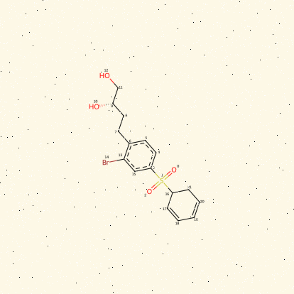 O=S(=O)(c1ccc(CC[C@H](O)CO)c(Br)c1)C1C=CC=CC1